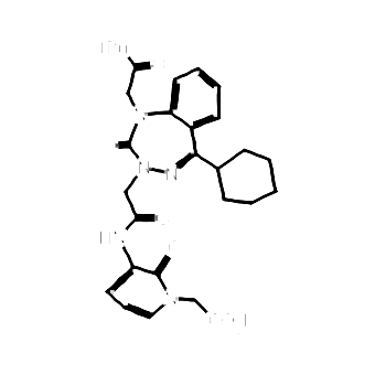 CC(C)(C)C(=O)CN1C(=O)N(CC(=O)Nc2cccn(CC(=O)O)c2=O)N=C(C2CCCCC2)c2ccccc21